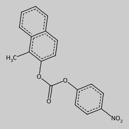 Cc1c(OC(=O)Oc2ccc([N+](=O)[O-])cc2)ccc2ccccc12